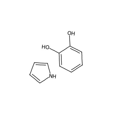 Oc1ccccc1O.c1cc[nH]c1